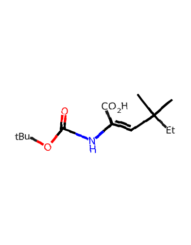 CCC(C)(C)/C=C(/NC(=O)OC(C)(C)C)C(=O)O